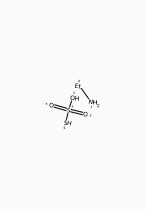 CCN.O=S(=O)(O)S